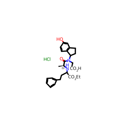 CCOC(=O)C(CCc1ccccc1)N[C@@H](C)C(=O)N(CC(=O)O)C1CCc2cc(O)ccc21.Cl